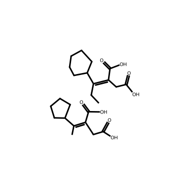 CC(=C(CC(=O)O)C(=O)O)C1CCCC1.CCC(=C(CC(=O)O)C(=O)O)C1CCCCC1